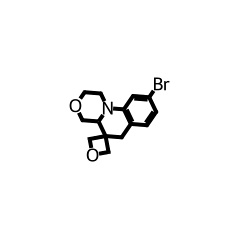 Brc1ccc2c(c1)N1CCOCC1C1(COC1)C2